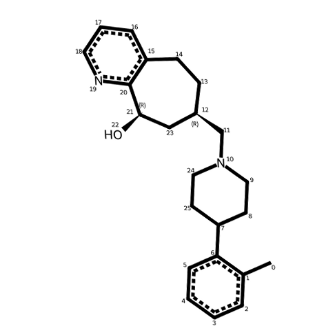 Cc1ccccc1C1CCN(C[C@@H]2CCc3cccnc3[C@H](O)C2)CC1